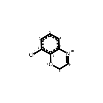 Clc1cccc2c1OCC=N2